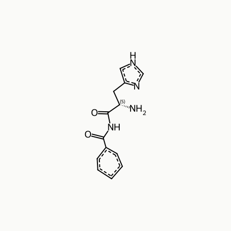 N[C@@H](Cc1c[nH]cn1)C(=O)NC(=O)c1ccccc1